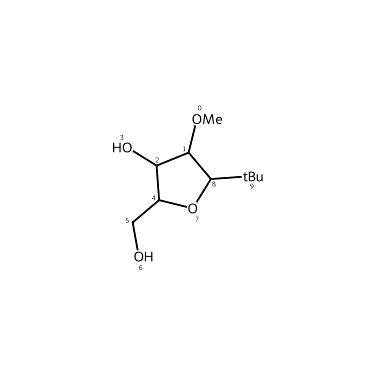 COC1C(O)C(CO)OC1C(C)(C)C